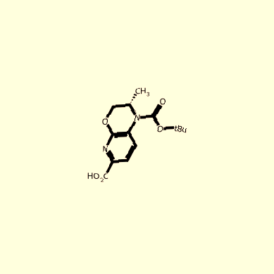 C[C@H]1COc2nc(C(=O)O)ccc2N1C(=O)OC(C)(C)C